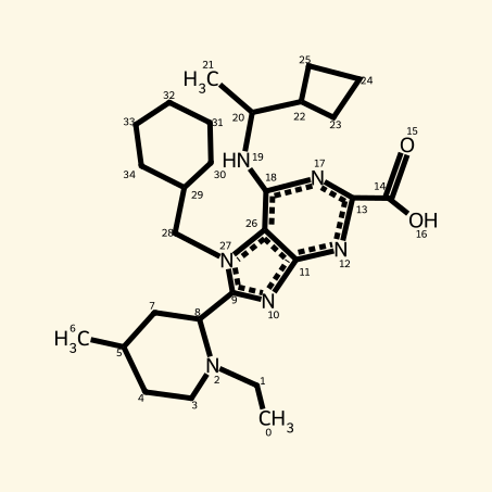 CCN1CCC(C)CC1c1nc2nc(C(=O)O)nc(NC(C)C3CCC3)c2n1CC1CCCCC1